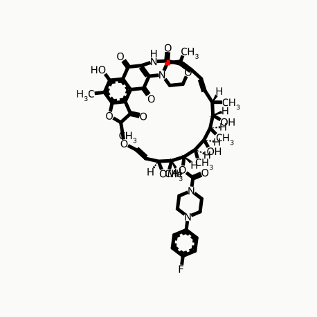 CO[C@H]1/C=C/O[C@@]2(C)Oc3c(C)c(O)c4c(c3C2=O)C(=O)C(N2CCOCC2)=C(NC(=O)/C(C)=C\C=C\[C@H](C)[C@H](O)[C@@H](C)[C@@H](O)[C@@H](C)[C@H](OC(=O)N2CCN(c3ccc(F)cc3)CC2)[C@@H]1C)C4=O